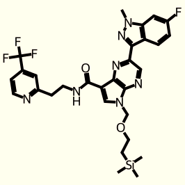 Cn1nc(-c2cnc3c(n2)c(C(=O)NCCc2cc(C(F)(F)F)ccn2)cn3COCC[Si](C)(C)C)c2ccc(F)cc21